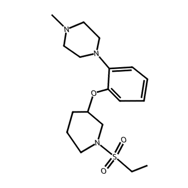 CCS(=O)(=O)N1CCCC(Oc2ccccc2N2CCN(C)CC2)C1